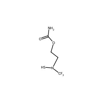 NC(=O)OCCN(S)C(F)(F)F